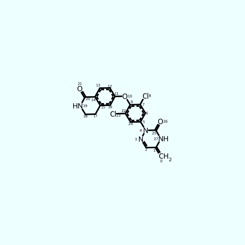 C=C1C=NN(c2cc(Cl)c(Oc3ccc4c(c3)CCNC4=O)c(Cl)c2)C(=O)N1